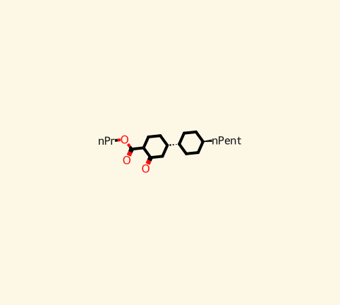 CCCCC[C@H]1CC[C@H](C2CCC(C(=O)OCCC)C(=O)C2)CC1